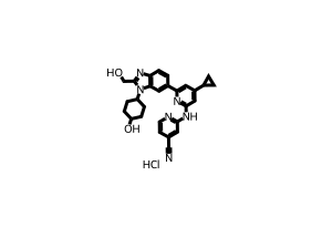 Cl.N#Cc1ccnc(Nc2cc(C3CC3)cc(-c3ccc4nc(CO)n(C5CCC(O)CC5)c4c3)n2)c1